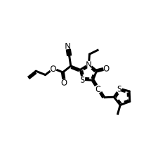 C=CCOC(=O)/C(C#N)=c1\sc(=C=Cc2sccc2C)c(=O)n1CC